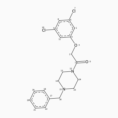 O=C(COc1cc(Cl)cc(Cl)c1)N1CCN(Cc2ccccc2)CC1